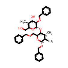 CC1[C@H](OCc2ccccc2)OC(COCc2ccccc2)[C@@H](O[C@@H]2OC(CO)[C@@H](C)[C@H](O)C2OCc2ccccc2)[C@@H]1C